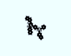 c1ccc(-c2nc(-c3ccc(-c4cc5c6ccc7ccccc7c6sc5c5nc6cc7ccccc7cc6n45)cc3)nc(-c3ccc4ccccc4c3)n2)cc1